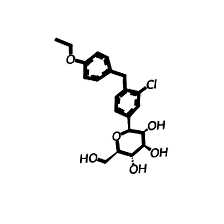 CCOc1ccc(Cc2ccc([C@@H]3O[C@H](CO)[C@@H](O)[C@H](O)[C@H]3O)cc2Cl)cc1